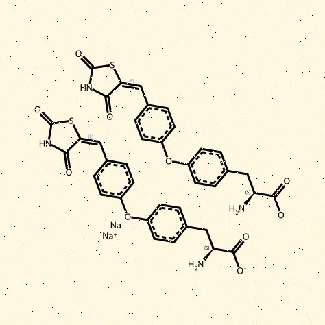 N[C@@H](Cc1ccc(Oc2ccc(/C=C3/SC(=O)NC3=O)cc2)cc1)C(=O)[O-].N[C@@H](Cc1ccc(Oc2ccc(/C=C3/SC(=O)NC3=O)cc2)cc1)C(=O)[O-].[Na+].[Na+]